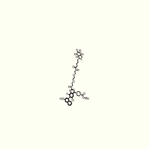 CC(C)(C)OC(=O)N1CCN(c2nc(NCCOCCOCCNC(=O)CCCC[C@@H]3SC[C@@H]4NC(=O)N[C@@H]43)nc3c(F)c(-c4cc(O)cc5ccccc45)c(Cl)cc23)CC1